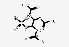 CC(=O)OC(OC(C)=O)C(OC(C)=O)OP(=O)(O)O